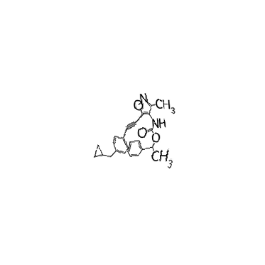 Cc1noc(C#Cc2ccc(CC3CC3)cc2)c1NC(=O)OC(C)c1ccccc1